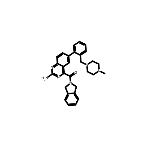 CN1CCN(Cc2ccccc2-c2ccc3nc(N)nc(C(=O)N4Cc5ccccc5C4)c3c2)CC1